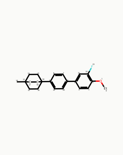 CCOc1ccc(-c2ccc(C34CCC(C)(CC3)CC4)cc2)cc1F